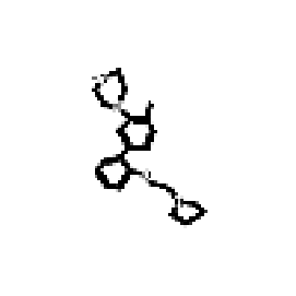 Cc1ccc(-c2ccccc2OCCN2CCCC2)cc1N1CCNCC1